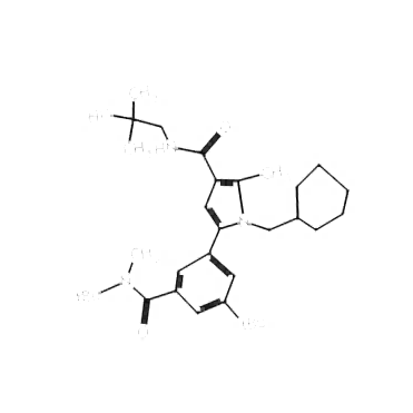 Cc1c(C(=O)NCC(C)(C)O)cc(-c2cc(C(=O)N(C)C(C)(C)C)cc(C(C)(C)C)c2)n1CC1CCCCC1